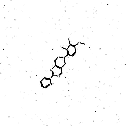 COc1ccc(N2CCc3nc(-c4ccccn4)ncc3C2)c(F)c1F